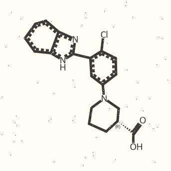 O=C(O)[C@@H]1CCCN(c2ccc(Cl)c(-c3nc4ccccc4[nH]3)c2)C1